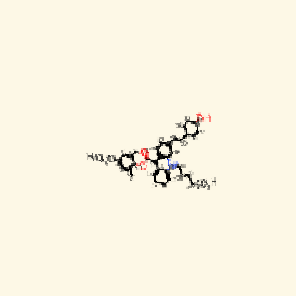 Cc1cc(C(=O)O)cc(C)c1OC(=O)c1c2ccccc2[n+](CCCCS(=O)(=O)O)c2cc(C=Cc3ccc(O)cc3)ccc12